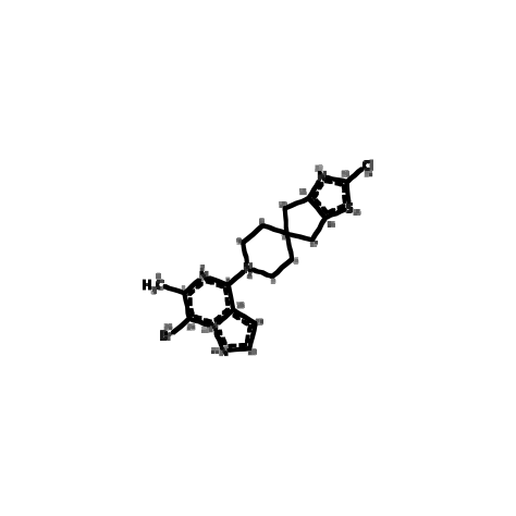 Cc1nc(N2CCC3(CC2)Cc2nc(Cl)sc2C3)c2ccnn2c1Br